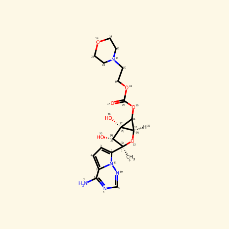 C[C@@]1(c2ccc3c(N)ncnn23)O[C@@H]2C(OC(=O)OCCN3CCOCC3)[C@]2(O)[C@H]1O